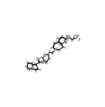 O=C(N[C@H]1CC[C@H](CCN2CCc3ccc(OCC(F)(F)F)nc3CC2)OC1)c1ccn2ncccc12